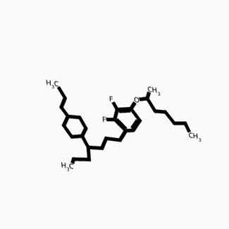 CCCCCC(C)Oc1ccc(CCCC(CCC)C2CCC(CCC)CC2)c(F)c1F